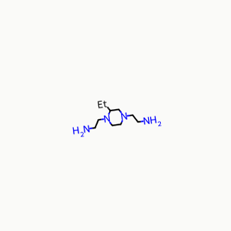 CCC1CN(CCN)CCN1CCN